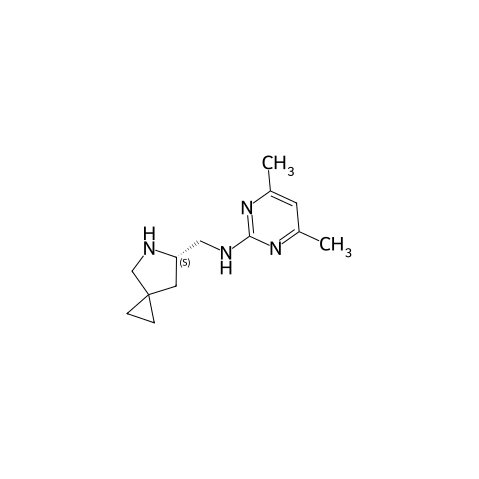 Cc1cc(C)nc(NC[C@@H]2CC3(CC3)CN2)n1